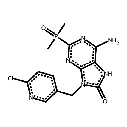 CP(C)(=O)c1nc(N)c2[nH]c(=O)n(Cc3ccc(Cl)nc3)c2n1